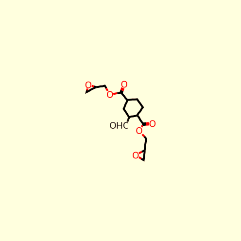 O=CC1CC(C(=O)OCC2CO2)CCC1C(=O)OCC1CO1